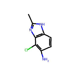 Cc1nc2c(Cl)c(N)ccc2[nH]1